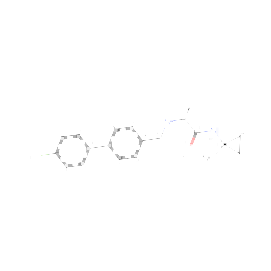 CCC[C@H](N[C@@H](c1ccc(-c2ccc(F)cc2)cc1)C(F)(F)F)C(=O)NC1(C#N)CC1